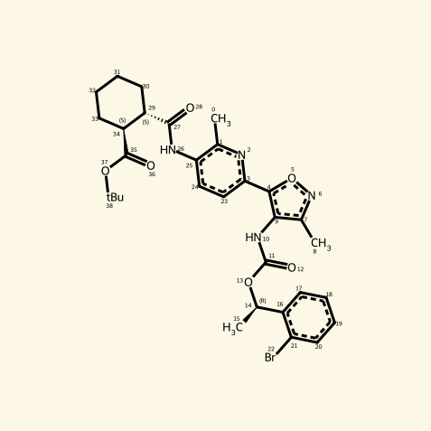 Cc1nc(-c2onc(C)c2NC(=O)O[C@H](C)c2ccccc2Br)ccc1NC(=O)[C@H]1CCCC[C@@H]1C(=O)OC(C)(C)C